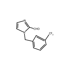 O=Cc1nccn1Cc1cccc(C(F)(F)F)c1